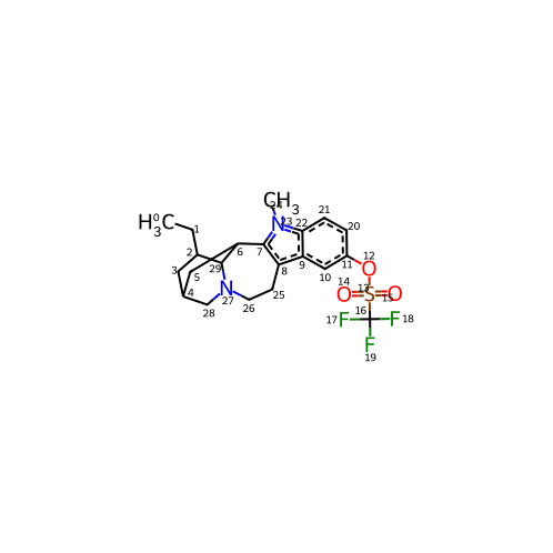 CCC1CC2CC3c4c(c5cc(OS(=O)(=O)C(F)(F)F)ccc5n4C)CCN(C2)C13